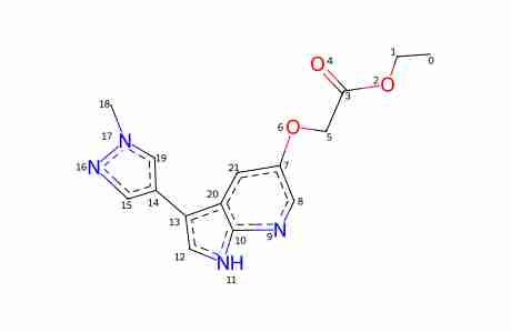 CCOC(=O)COc1cnc2[nH]cc(-c3cnn(C)c3)c2c1